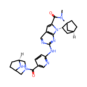 CN(C)C(=O)c1cc2cnc(Nc3ccc(C(=O)N4CC5CC[C@@H](C4)N5)cn3)nc2n1[C@H]1C[C@@H]2CCC1C2